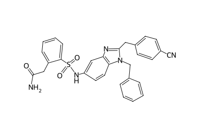 N#Cc1ccc(Cc2nc3cc(NS(=O)(=O)c4ccccc4CC(N)=O)ccc3n2Cc2ccccc2)cc1